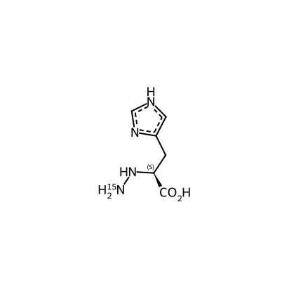 [15NH2]N[C@@H](Cc1c[nH]cn1)C(=O)O